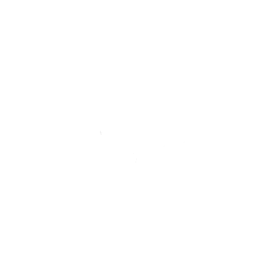 O=CC(O)C(O)C(O)CO.O=S(=O)(O)O